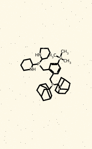 C[Si](C)(C)c1ccc(CP(C23CC4CC(CC(C4)C2)C3)C23CC4CC(CC(C4)C2)C3)c(CP(C2CCCCN2)C2CCCCN2)c1